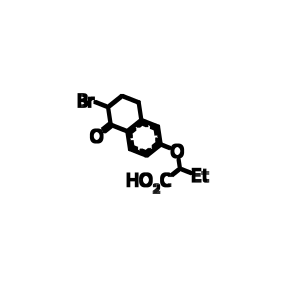 CCC(Oc1ccc2c(c1)CCC(Br)C2=O)C(=O)O